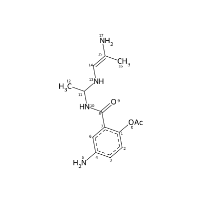 CC(=O)Oc1ccc(N)cc1C(=O)NC(C)N/C=C(\C)N